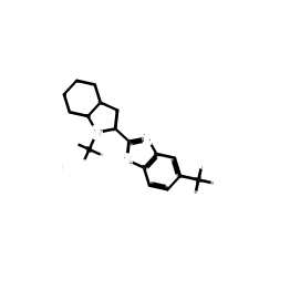 CC(C)(C)c1ccc2[nH]c(C3CC4CCCCC4N3C(C)(C)C)nc2c1